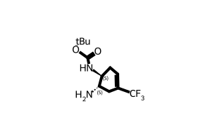 CC(C)(C)OC(=O)N[C@H]1CC=C(C(F)(F)F)C[C@@H]1N